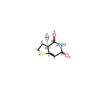 O=C1C=C2SCC[C@H]2C(=O)N1